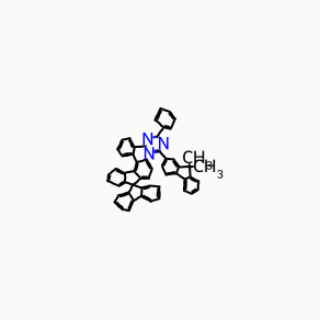 CC1(C)c2ccccc2-c2ccc(-c3nc(-c4ccccc4)nc(-c4ccccc4-c4cccc5c4-c4ccccc4C54c5ccccc5-c5ccccc54)n3)cc21